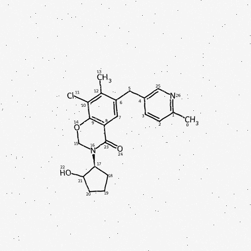 Cc1ccc(Cc2cc3c(c(Cl)c2C)OCN([C@H]2CCCC2O)C3=O)cn1